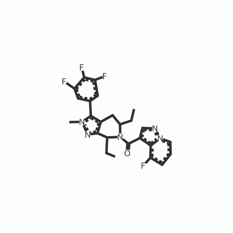 CCC1Cc2c(nn(C)c2-c2cc(F)c(F)c(F)c2)C(CC)N1C(=O)c1cnn2cccc(F)c12